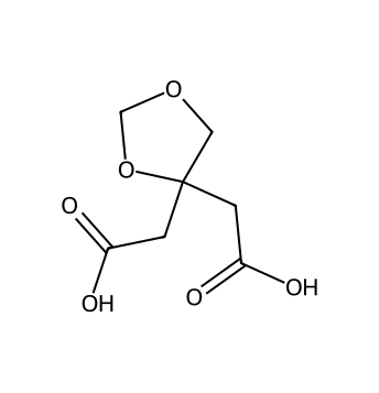 O=C(O)CC1(CC(=O)O)COCO1